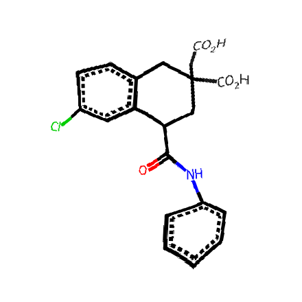 O=C(Nc1ccccc1)C1CC(C(=O)O)(C(=O)O)Cc2ccc(Cl)cc21